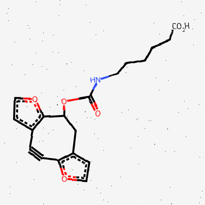 O=C(O)CCCCCNC(=O)OC1Cc2ccoc2C#Cc2ccoc21